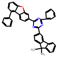 CC1(C)c2ccccc2-c2cc(-c3nc(-c4ccccc4)nc(-c4ccc5c(c4)oc4cccc(-c6ccccc6)c45)n3)ccc21